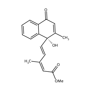 COC(=O)/C=C(C)\C=C\[C@]1(O)C(C)=CC(=O)c2ccccc21